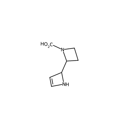 O=C(O)N1CCC1C1C=CN1